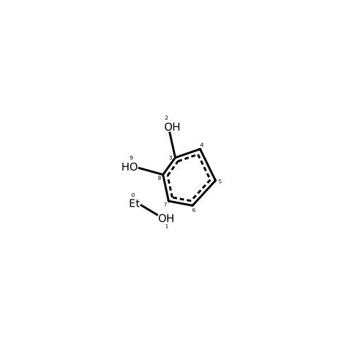 CCO.Oc1ccccc1O